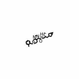 C=C=C(CNC(=O)c1ncnc2c1CCN(Cc1ccccc1C)C2)CC1CC2CC2C1